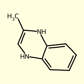 CC1=CNc2ccccc2N1